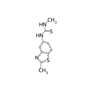 CNC(=S)Nc1ccc2sc(C)nc2c1